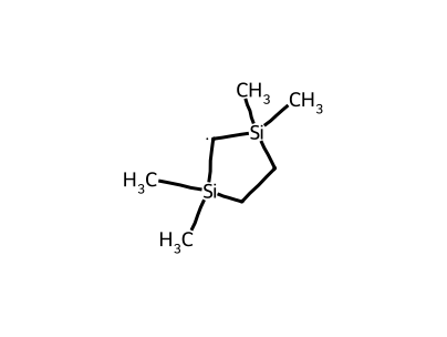 C[Si]1(C)[CH][Si](C)(C)CC1